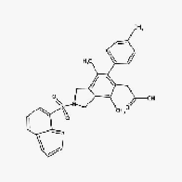 Cc1ccc(-c2c(C)c3c(c(C)c2CC(=O)O)CN(S(=O)(=O)c2cccc4ccccc24)C3)cc1